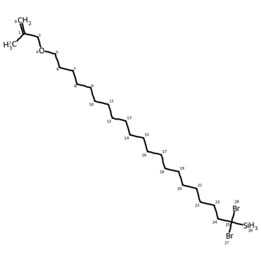 C=C(C)COCCCCCCCCCCCCCCCCCCCCC([SiH3])(Br)Br